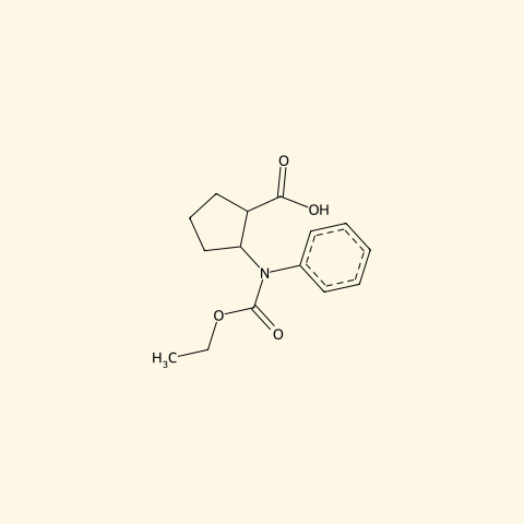 CCOC(=O)N(c1ccccc1)C1CCCC1C(=O)O